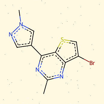 Cc1nc(-c2cnn(C)c2)c2scc(Br)c2n1